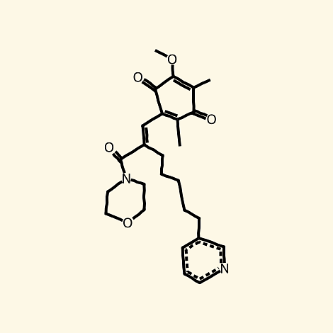 COC1=C(C)C(=O)C(C)=C(C=C(CCCCCc2cccnc2)C(=O)N2CCOCC2)C1=O